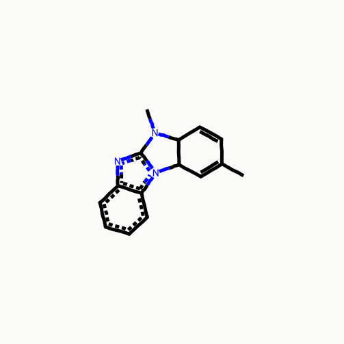 CC1=CC2C(C=C1)N(C)c1nc3ccccc3n12